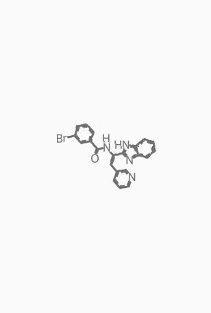 O=C(N/C(=C/c1cccnc1)c1nc2ccccc2[nH]1)c1cccc(Br)c1